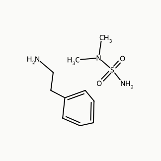 CN(C)S(N)(=O)=O.NCCc1ccccc1